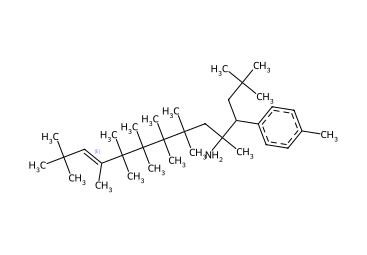 C/C(=C\C(C)(C)C)C(C)(C)C(C)(C)C(C)(C)C(C)(C)CC(C)(N)C(CC(C)(C)C)c1ccc(C)cc1